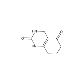 O=C1NCC2=C(CCCC2=O)N1